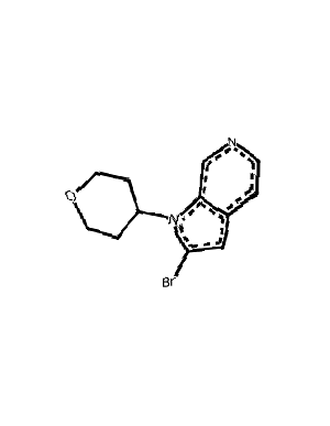 Brc1cc2ccncc2n1C1CCOCC1